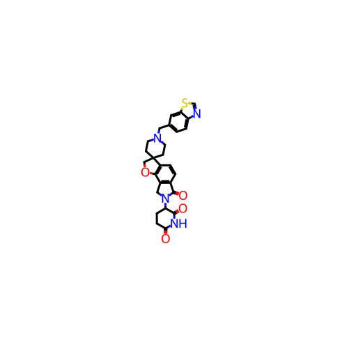 O=C1CCC(N2Cc3c(ccc4c3OCC43CCN(Cc4ccc5ncsc5c4)CC3)C2=O)C(=O)N1